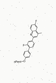 CCCCCOc1ccc(-c2ccc(-c3cc(C)c4cc(F)ccc4n3)cc2F)cc1